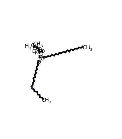 CCCCCCCC/C=C\CCCCCCCCCCCCOC[C@H](COP(=O)(O)OCC[N+](C)(C)C)OCCCCCCCCCCCCCCCCCCCCCC